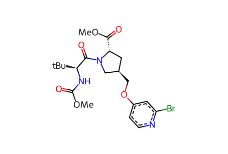 COC(=O)N[C@H](C(=O)N1C[C@H](COc2ccnc(Br)c2)C[C@H]1C(=O)OC)C(C)(C)C